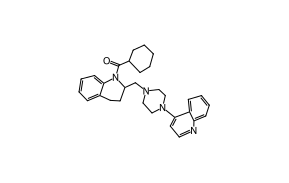 O=C(C1CCCCC1)N1c2ccccc2CCC1CN1CCN(c2ccnc3ccccc23)CC1